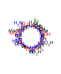 CCCC[C@H]1C(=O)N2C[C@H](O)C[C@@H]2C(=O)N[C@@H](CC(=O)O)C(=O)N[C@@H](C(C)C)C(=O)N(C)[C@@H](Cc2ccccc2)C(=O)N[C@@H](CCC(=O)O)C(=O)N2CCC[C@@H]2C(=O)N[C@@H](Cc2c[nH]c3ccccc23)C(=O)N[C@@H](Cc2ccc(O)cc2)C(=O)N[C@@H](CCOC)C(=O)N[C@H](C(=O)NCC(N)=O)CSCC(=O)N[C@@H](Cc2cc(F)c(F)c(F)c2)C(=O)N(C)[C@@H](Cc2ccccc2)C(=O)N1C